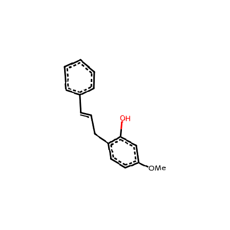 COc1ccc(C/C=C/c2ccccc2)c(O)c1